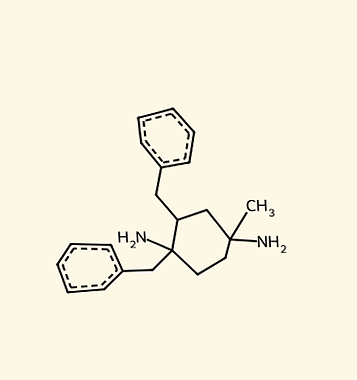 CC1(N)CCC(N)(Cc2ccccc2)C(Cc2ccccc2)C1